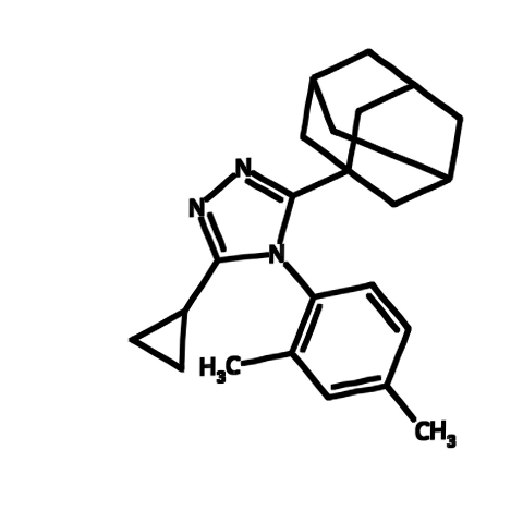 Cc1ccc(-n2c(C3CC3)nnc2C23CC4CC(CC(C4)C2)C3)c(C)c1